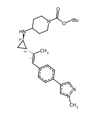 C/C(=C\c1ccc(-c2cnn(C)c2)cc1)[C@@H]1C[C@H]1NC1CCN(C(=O)OC(C)(C)C)CC1